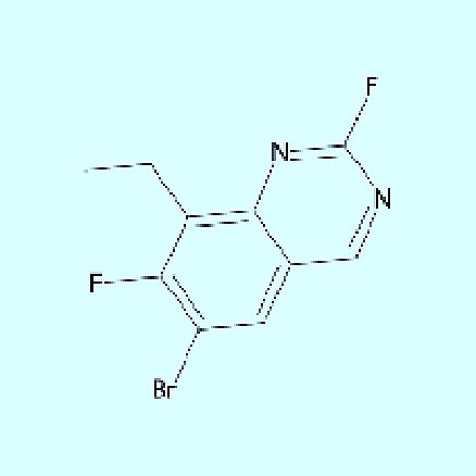 CCc1c(F)c(Br)cc2cnc(F)nc12